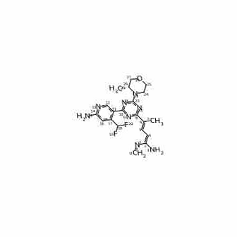 C=N/C(N)=C\C=C(/C)c1nc(-c2cnc(N)cc2C(F)F)nc(N2CCOC[C@H]2C)n1